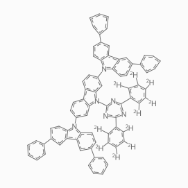 [2H]c1c([2H])c([2H])c(-c2nc(-c3c([2H])c([2H])c([2H])c([2H])c3[2H])nc(-n3c4cc(-n5c6ccc(-c7ccccc7)cc6c6cc(-c7ccccc7)ccc65)ccc4c4ccc(-n5c6ccc(-c7ccccc7)cc6c6cc(-c7ccccc7)ccc65)cc43)n2)c([2H])c1[2H]